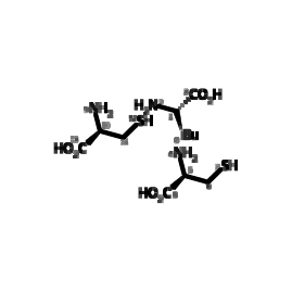 CC[C@H](C)[C@H](N)C(=O)O.N[C@@H](CS)C(=O)O.N[C@@H](CS)C(=O)O